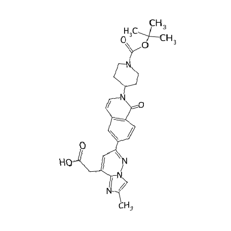 Cc1cn2nc(-c3ccc4c(=O)n(C5CCN(C(=O)OC(C)(C)C)CC5)ccc4c3)cc(CC(=O)O)c2n1